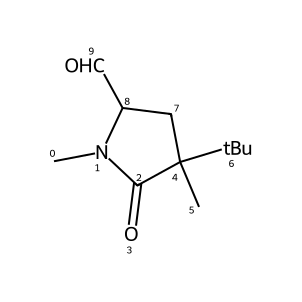 CN1C(=O)C(C)(C(C)(C)C)CC1C=O